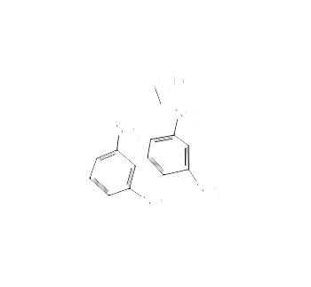 CCOC(C)=O.O=[N+]([O-])c1cccc([N+](=O)[O-])c1.O=[N+]([O-])c1cccc([N+](=O)[O-])c1